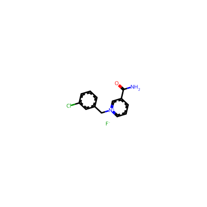 NC(=O)c1ccc[n+](Cc2cccc(Cl)c2)c1.[F-]